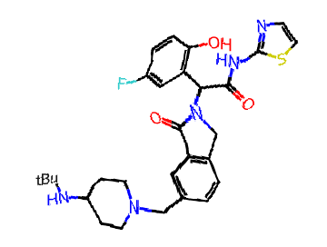 CC(C)(C)NC1CCN(Cc2ccc3c(c2)C(=O)N(C(C(=O)Nc2nccs2)c2cc(F)ccc2O)C3)CC1